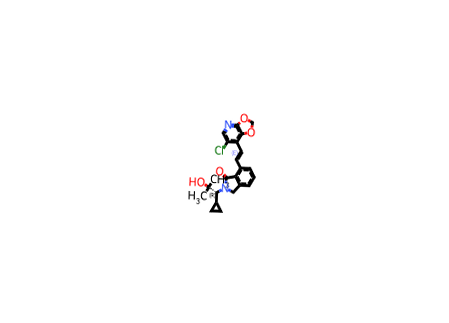 CC(C)(O)[C@@H](C1CC1)N1Cc2cccc(/C=C/c3c(Cl)cnc4c3OCO4)c2C1=O